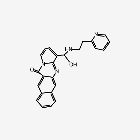 O=c1c2cc3ccccc3cc2nc2c(C(O)NCCc3ccccn3)cccn12